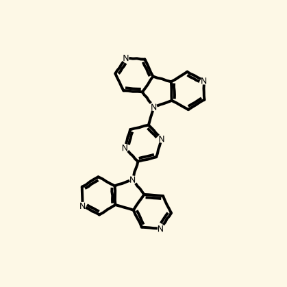 c1cc2c(cn1)c1cnccc1n2-c1cnc(-n2c3ccncc3c3cnccc32)cn1